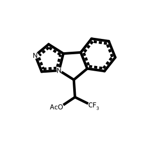 CC(=O)OC(C1c2ccccc2-c2cncn21)C(F)(F)F